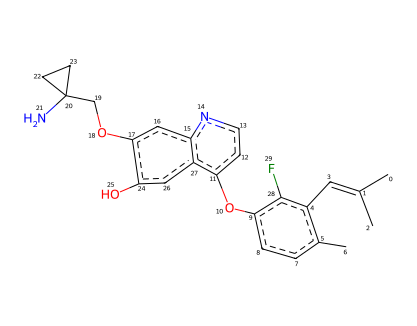 CC(C)=Cc1c(C)ccc(Oc2ccnc3cc(OCC4(N)CC4)c(O)cc23)c1F